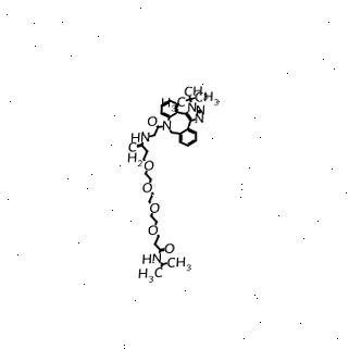 C=C(CCOCCOCCOCCOCCC(=O)NC(C)C)NCC(=O)N1Cc2ccccc2-c2nnn(C(C)(C)C)c2-c2ccccc21